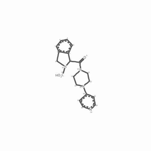 O=C(C1c2ccccc2CN1C(=O)O)N1CCN(c2ccncc2)CC1